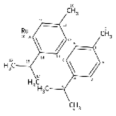 Cc1ccc(C(C)C)cc1.Cc1ccc(C(C)C)cc1.[Ru]